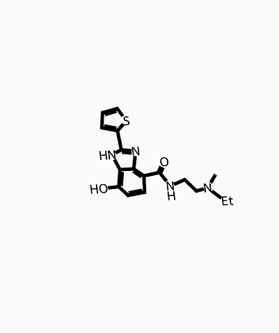 CCN(C)CCNC(=O)c1ccc(O)c2[nH]c(-c3cccs3)nc12